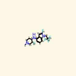 CN1CC[C@@H](Nc2cccc3c2cc(F)n3CC(F)(F)F)[C@@H](F)C1